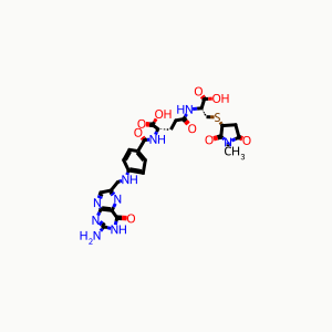 CN1C(=O)CC(SC[C@H](NC(=O)CC[C@H](NC(=O)c2ccc(NCc3cnc4nc(N)[nH]c(=O)c4n3)cc2)C(=O)O)C(=O)O)C1=O